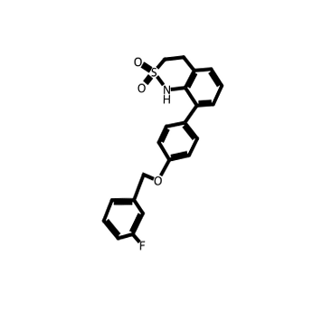 O=S1(=O)CCc2cccc(-c3ccc(OCc4cccc(F)c4)cc3)c2N1